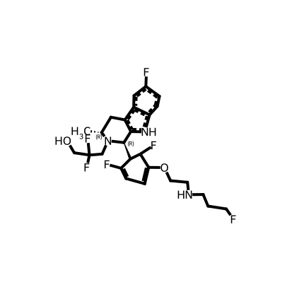 C[C@@H]1Cc2c([nH]c3ccc(F)cc23)[C@@H](C2C(F)=CC=C(OCCNCCCF)C2F)N1CC(F)(F)CO